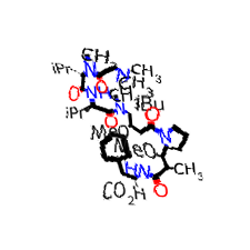 CC[C@H](C)[C@@H]([C@@H](CC(=O)N1CCC[C@H]1[C@H](OC)[C@@H](C)C(=O)N[C@@H](Cc1ccccc1)C(=O)O)OC)N(C)C(=O)C(NC(=O)[C@H](C(C)C)N(C)C(=O)CN(C)C)C(C)C